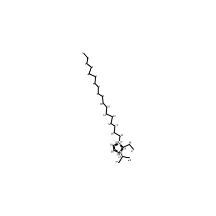 CCCCCCCCCCCCCCCCCC[n+]1ccn(C(C)C)c1CC